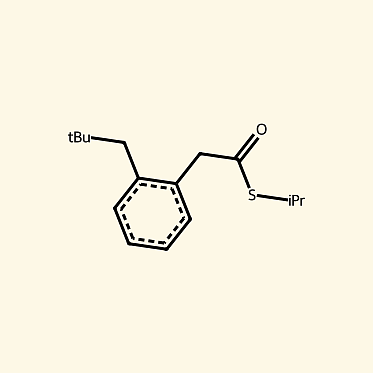 CC(C)SC(=O)Cc1ccccc1CC(C)(C)C